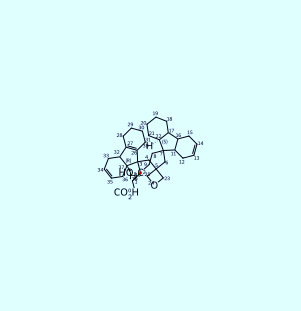 O=C(O)CCC1(CC2(CC3(CCC(=O)O)C4CC=CCC4C4CCCC[C@@H]43)COC2)C2=C(CCCC2)C2CC=CC[C@H]21